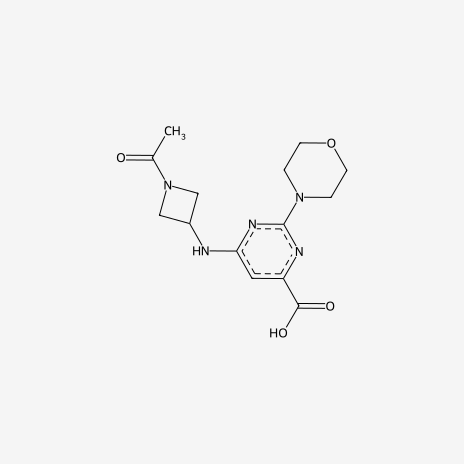 CC(=O)N1CC(Nc2cc(C(=O)O)nc(N3CCOCC3)n2)C1